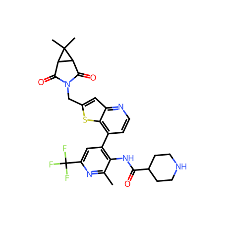 Cc1nc(C(F)(F)F)cc(-c2ccnc3cc(CN4C(=O)C5C(C4=O)C5(C)C)sc23)c1NC(=O)C1CCNCC1